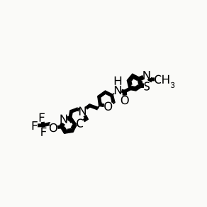 Cc1nc2ccc(C(=O)N[C@H]3CC[C@H](CCN4CCc5ccc(OCC(F)(F)F)nc5CC4)OC3)cc2s1